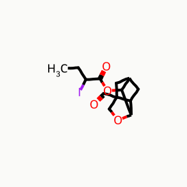 CCC(I)C(=O)OC1C2CC3C1OCC3(C=O)C2